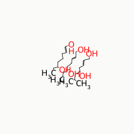 CC(C)CC(O)CC=CCO.CCC(O)CCC=CCO.CCC(O)CCCC=CO